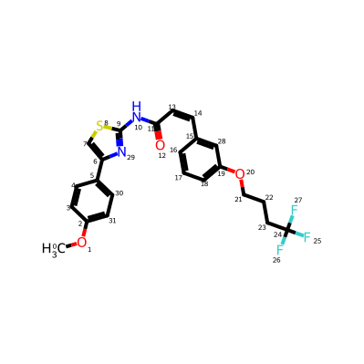 COc1ccc(-c2csc(NC(=O)/C=C\c3cccc(OCCCC(F)(F)F)c3)n2)cc1